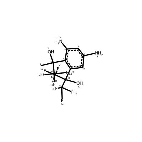 CC(O)(c1c(N)cc(N)cc1C(O)(C(F)(F)F)C(F)(F)F)C(F)(F)F